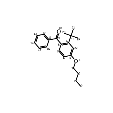 CCCCOc1ccc(C(=O)c2ccccc2)c(C(C)(C)C)c1